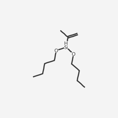 C=C(C)[SiH](OCCCC)OCCCC